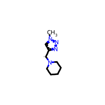 Cn1cc([CH]N2CCCCC2)nn1